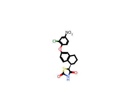 O=C1NC(=O)C([C@@H]2CCCc3cc(Oc4ccc([N+](=O)[O-])cc4Cl)ccc32)S1